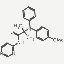 COc1ccc([C@H](c2ccccc2)C(C)(C)C(=O)Nc2ccncn2)cc1